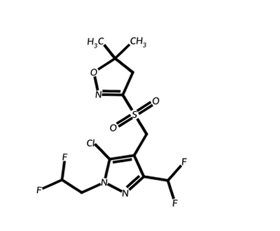 CC1(C)CC(S(=O)(=O)Cc2c(C(F)F)nn(CC(F)F)c2Cl)=NO1